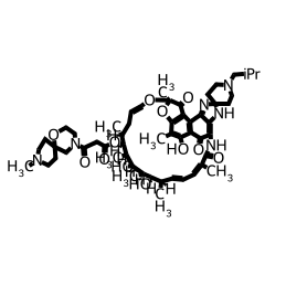 C/C1=C/C=C/[C@H](C)[C@H](O)[C@@H](C)[C@@H](O)[C@@H](C)[C@H](OC(=O)CC(=O)N2CCOC3(CCN(C)CC3)C2)[C@H](C)C/C=C/O[C@@]2(C)Oc3c(C)c(O)c4c(c3C2=O)C2=NC3(CCN(CC(C)C)CC3)NC2=C(NC1=O)C4=O